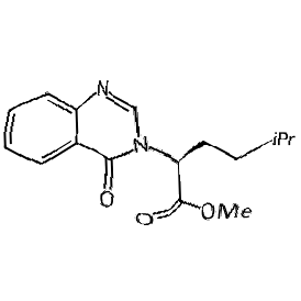 COC(=O)[C@H](CCC(C)C)n1cnc2ccccc2c1=O